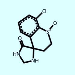 O=C1NCNC12CC[S+]([O-])c1c(Cl)cccc12